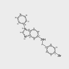 Brc1ccc(CNc2ccc3c(c2)ncn3-c2ccccc2)cc1